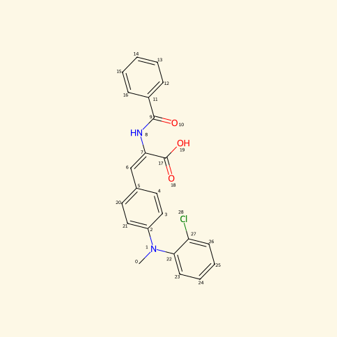 CN(c1ccc(/C=C(/NC(=O)c2ccccc2)C(=O)O)cc1)c1ccccc1Cl